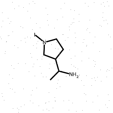 CC(N)C1CCN(I)C1